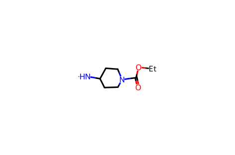 CCOC(=O)N1CCC([NH])CC1